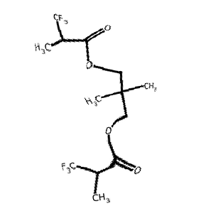 CC(C(=O)OCC(C)(C)COC(=O)C(C)C(F)(F)F)C(F)(F)F